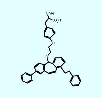 COC(Cc1ccc(OCCOC2c3ccc(-c4ccccc4)cc3C=Cc3c(CCc4ccccc4)cccc32)cc1)C(=O)O